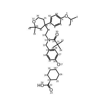 CC(C)Oc1ccc(C2(CCN(Cc3ccc(O[C@H]4CC[C@H](C(=O)O)CC4)cc3)C(=O)C(C)(C)C)CCOC(C)(C)C2)cc1